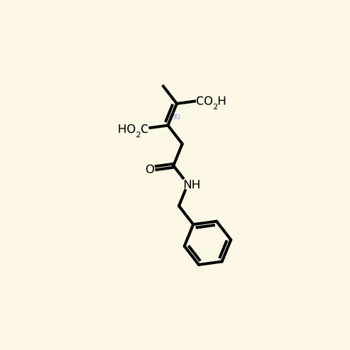 C/C(C(=O)O)=C(/CC(=O)NCc1ccccc1)C(=O)O